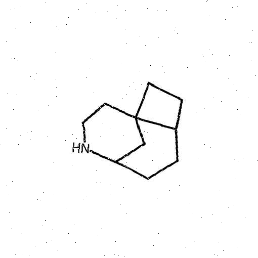 C1CC23CCC2CCC(C3)N1